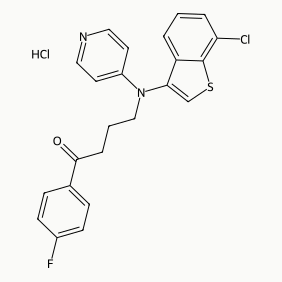 Cl.O=C(CCCN(c1ccncc1)c1csc2c(Cl)cccc12)c1ccc(F)cc1